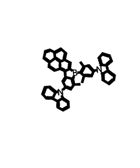 Cc1cc(-n2c3ccccc3c3ccccc32)cc(C)c1B1c2cc3ccc4cccc5ccc(c2-c2cc(-n6c7ccccc7c7ccccc76)cc(C)c21)c3c45